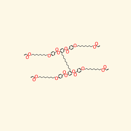 C=CC(=O)OCCCCCCCCCCOc1ccc(C(=O)Oc2ccc(OC(=O)c3ccc(OCCCCCCCCCCOC(=O)C=C)cc3)c(CCCCCCCCCCc3cc(OC(=O)c4ccc(OCCCCCCCCCCOC(=O)C=C)cc4)ccc3OC(=O)c3ccc(OCCCCCCCCCCOC(=O)C=C)cc3)c2)cc1